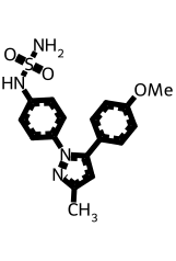 COc1ccc(-c2cc(C)nn2-c2ccc(NS(N)(=O)=O)cc2)cc1